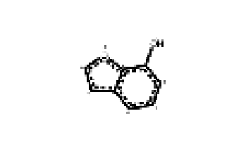 Oc1cccc2[c]coc12